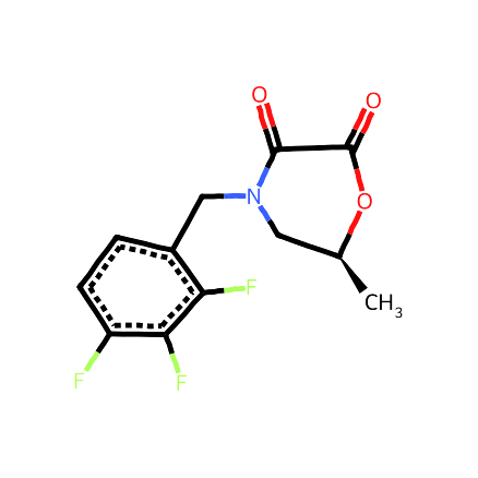 C[C@H]1CN(Cc2ccc(F)c(F)c2F)C(=O)C(=O)O1